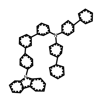 c1ccc(-c2ccc(N(c3ccc(-c4ccccc4)cc3)c3cccc(-c4cccc(-c5ccc(-n6c7ccccc7c7ccccc76)cc5)c4)c3)cc2)cc1